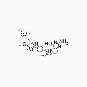 C=CC(Cc1ccc2nc(N)nc(O)c2c1)Nc1ccc(C(=O)N[C@@H](CCC(=O)OCC)C(=O)OCC)cc1